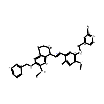 COc1cc(C)c(/C=C/C2NCCc3cc(OCc4ccccc4)c(OC)cc32)cc1OCc1ccnc(Cl)c1